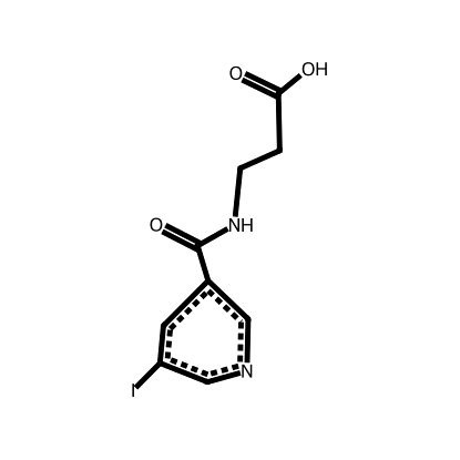 O=C(O)CCNC(=O)c1cncc(I)c1